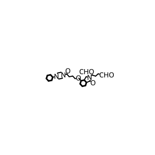 O=CCCC(C=O)N1Cc2c(OCCCC(=O)N3CCN(c4ccccc4)CC3)cccc2C1=O